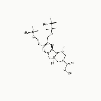 CC(C)C(C)(C)[Si](C)(C)OCc1nc2c(cc1C=CO[Si](C)(C)C(C)(C)C)C[C@@H]1CN(C(=O)OC(C)(C)C)C[C@@H](C)N21